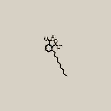 CCCCCCCCCc1cccc(C(=O)OC)c1C(=O)OC